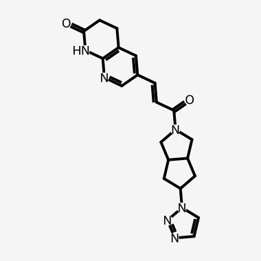 O=C1CCc2cc(/C=C/C(=O)N3CC4CC(n5ccnn5)CC4C3)cnc2N1